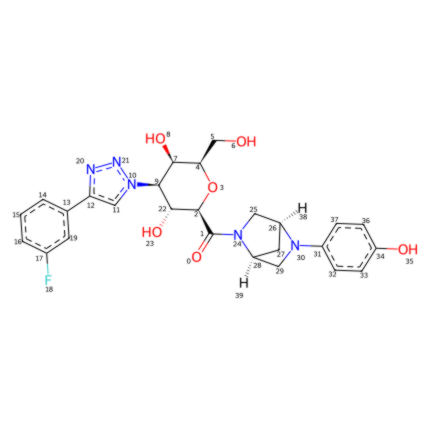 O=C([C@@H]1O[C@H](CO)[C@H](O)[C@H](n2cc(-c3cccc(F)c3)nn2)[C@H]1O)N1C[C@@H]2C[C@H]1CN2c1ccc(O)cc1